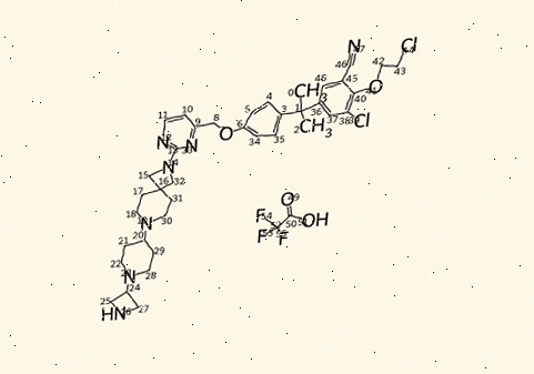 CC(C)(c1ccc(OCc2ccnc(N3CC4(CCN(C5CCN(C6CNC6)CC5)CC4)C3)n2)cc1)c1cc(Cl)c(OCCCl)c(C#N)c1.O=C(O)C(F)(F)F